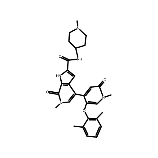 Cc1cccc(C)c1Oc1cn(C)c(=O)cc1-c1cn(C)c(=O)c2[nH]c(C(=O)NC3CCN(C)CC3)cc12